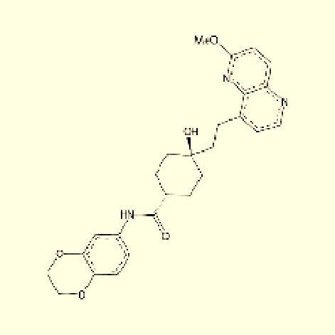 COc1ccc2nccc(CC[C@]3(O)CC[C@H](C(=O)Nc4ccc5c(c4)OCCO5)CC3)c2n1